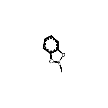 IB1Oc2ccccc2O1